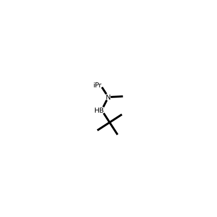 CC(C)N(C)BC(C)(C)C